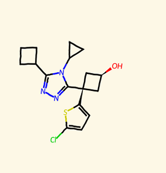 O[C@H]1C[C@](c2ccc(Cl)s2)(c2nnc(C3CCC3)n2C2CC2)C1